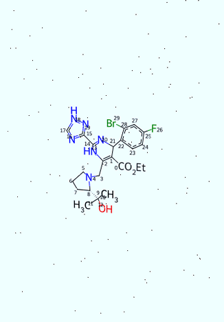 CCOC(=O)C1=C(CN2CCC[C@H]2C(C)(C)O)NC(c2nc[nH]n2)=NC1c1ccc(F)cc1Br